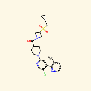 Cc1cccnc1-c1cc(N2CCC(C(=O)N3CC(S(=O)(=O)CC4CC4)C3)CC2)ncc1Cl